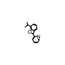 CC(C)c1cccc2c1OC2c1ccccn1